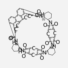 CC12CCCC[C@@H]1n1c(=O)c3cc4c(=O)n(c(=O)c4cc3c1=O)C1CCCC[C@@H]1N1C(=O)c3ccc4c5ccc6c7c(ccc(c8ccc(c3c48)C1=O)c75)C(=O)N(C6=O)[C@H]1CCCC[C@@H]1n1c(=O)c3cc4c(=O)n2c(=O)c4cc3c1=O